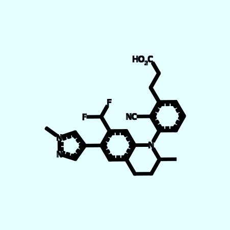 CC1CCc2cc(-c3cnn(C)c3)c(C(F)F)cc2N1c1cccc(CCC(=O)O)c1C#N